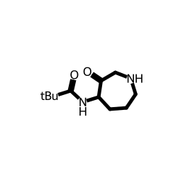 CC(C)(C)C(=O)NC1CCCNCC1=O